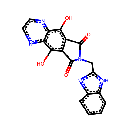 O=C1c2c(c(O)c3nccnc3c2O)C(=O)N1Cc1nc2ccccc2[nH]1